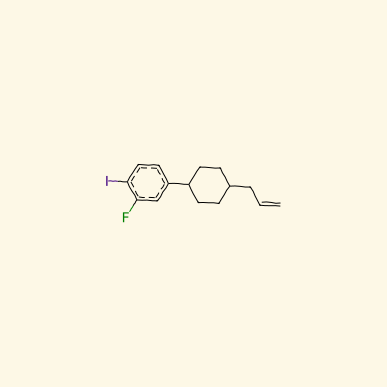 C=CCC1CCC(c2ccc(I)c(F)c2)CC1